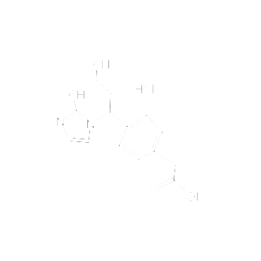 CCCC(c1ccc(CC(=O)O)cc1)n1ccnc1C.Cl